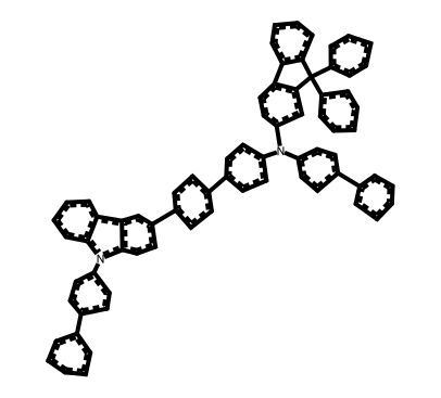 c1ccc(-c2ccc(N(c3ccc(-c4ccc(-c5ccc6c(c5)c5ccccc5n6-c5ccc(-c6ccccc6)cc5)cc4)cc3)c3ccc4c(c3)C(c3ccccc3)(c3ccccc3)c3ccccc3-4)cc2)cc1